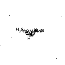 COc1cc(Nc2nc3n(n2)C=CN(c2cnn(CCN4CCOCC4)c2)C3)ccc1N1CCN(C)CC1